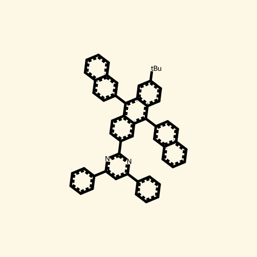 CC(C)(C)c1ccc2c(-c3ccc4ccccc4c3)c3cc(-c4nc(-c5ccccc5)cc(-c5ccccc5)n4)ccc3c(-c3ccc4ccccc4c3)c2c1